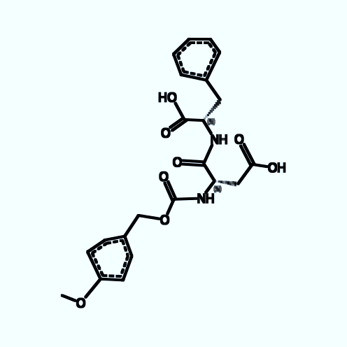 COc1ccc(COC(=O)N[C@@H](CC(=O)O)C(=O)N[C@@H](Cc2ccccc2)C(=O)O)cc1